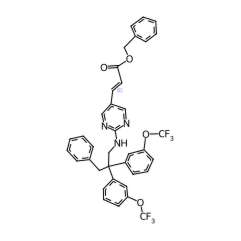 O=C(/C=C/c1cnc(NCC(Cc2ccccc2)(c2cccc(OC(F)(F)F)c2)c2cccc(OC(F)(F)F)c2)nc1)OCc1ccccc1